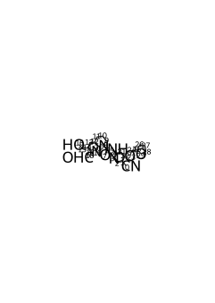 N#Cc1cnc(NC(=O)N2CCCc3cc(CO)c(C=O)nc32)cc1OCC1CCCO1